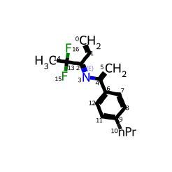 C=C/C(=N\C(=C)c1ccc(CCC)cc1)C(C)(F)F